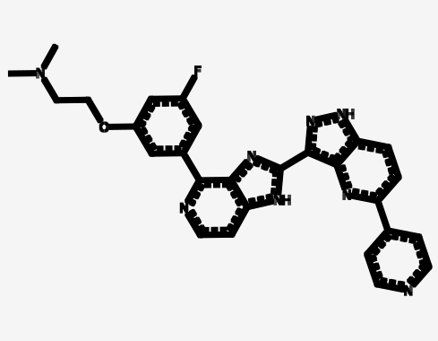 CN(C)CCOc1cc(F)cc(-c2nccc3[nH]c(-c4n[nH]c5ccc(-c6ccncc6)nc45)nc23)c1